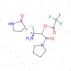 N[C@@H](C[C@@H]1CCNC1=O)C(OC(=O)C(F)(F)F)C(=O)N1CCCC1